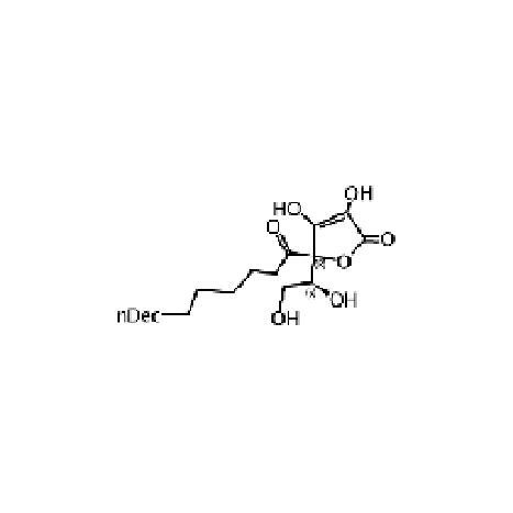 CCCCCCCCCCCCCCCC(=O)[C@]1([C@@H](O)CO)OC(=O)C(O)=C1O